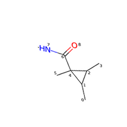 CC1C(C)C1(C)C([NH])=O